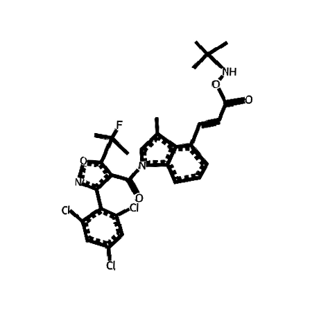 Cc1cn(C(=O)c2c(-c3c(Cl)cc(Cl)cc3Cl)noc2C(C)(C)F)c2cccc(C=CC(=O)ONC(C)(C)C)c12